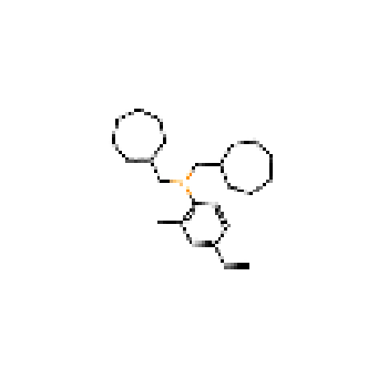 C=Cc1ccc(P(CC2CCCCCC2)CC2CCCCCC2)c(C)c1